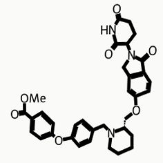 COC(=O)c1ccc(Oc2ccc(CN3CCCC[C@H]3COc3ccc4c(c3)CN(C3CCC(=O)NC3=O)C4=O)cc2)cc1